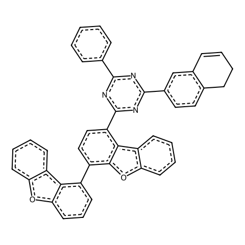 C1=Cc2cc(-c3nc(-c4ccccc4)nc(-c4ccc(-c5cccc6oc7ccccc7c56)c5oc6ccccc6c45)n3)ccc2CC1